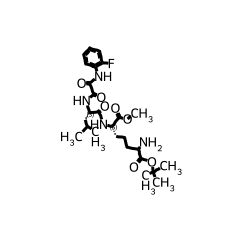 COC(=O)[C@H](CCCC(N)C(=O)OC(C)(C)C)NC(=O)[C@H](CC(C)C)NC(=O)C(=O)Nc1ccccc1F